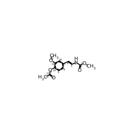 COC(=O)NC=Cc1ccc(OC(C)=O)c(OC)c1